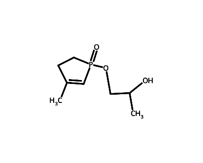 CC1=CP(=O)(OCC(C)O)CC1